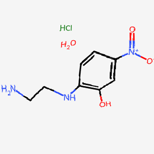 Cl.NCCNc1ccc([N+](=O)[O-])cc1O.O